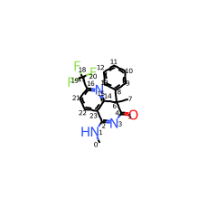 CNC1=NC(=O)C(C)(c2ccccc2)c2nc(C(F)(F)F)ccc21